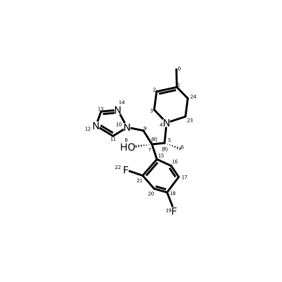 CC1=CCN([C@H](C)[C@](O)(Cn2cncn2)c2ccc(F)cc2F)CC1